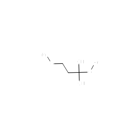 CCOC(C)(C)CCOC(C)C